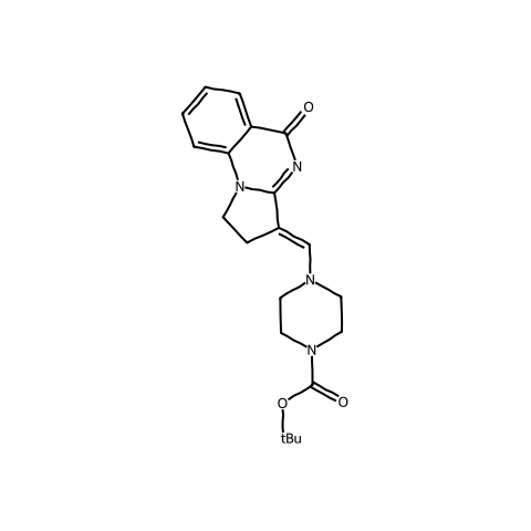 CC(C)(C)OC(=O)N1CCN(/C=C2\CCn3c2nc(=O)c2ccccc23)CC1